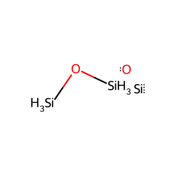 [O].[SiH3]O[SiH3].[Si]